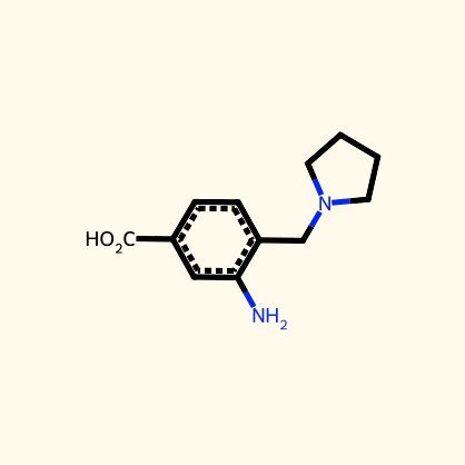 Nc1cc(C(=O)O)ccc1CN1CCCC1